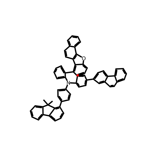 CC1(C)c2ccccc2-c2cccc(-c3ccc(N(c4ccc(-c5ccc6c(ccc7ccccc76)c5)cc4)c4ccccc4-c4cccc5oc6c7ccccc7ccc6c45)cc3)c21